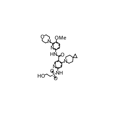 COc1ccc(NC(=O)c2cnc(NS(=O)(=O)CCO)cc2N2CCC3(CC2)CC3)nc1N1CCOCC1